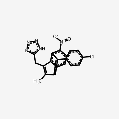 CC1=C(Cc2nnn[nH]2)c2c3ccc([N+](=O)[O-])c2C(c2ccc(Cl)cc2)=C13